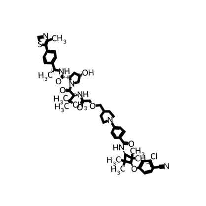 Cc1ncsc1-c1ccc([C@H](C)NC(=O)[C@@H]2C[C@@H](O)CN2C(=O)[C@@H](NC(=O)COCC2CCN(c3ccc(C(=O)N[C@H]4C(C)(C)[C@H](Oc5ccc(C#N)c(Cl)c5)C4(C)C)cc3)CC2)C(C)(C)C)cc1